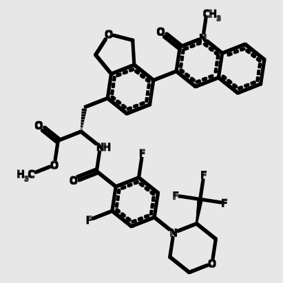 COC(=O)[C@H](Cc1ccc(-c2cc3ccccc3n(C)c2=O)c2c1COC2)NC(=O)c1c(F)cc(N2CCOC[C@@H]2C(F)(F)F)cc1F